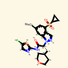 COc1cc(S(=O)(=O)C2CC2)c2cnn([C@H](CC3CCOCC3)C(=O)Nc3ncc(F)s3)c2c1